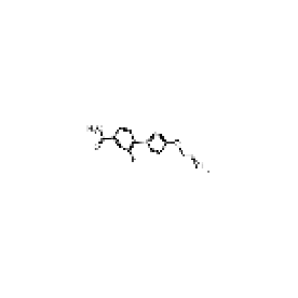 C=CCOc1ccc(-c2ccc(C(C)=O)cc2F)cc1